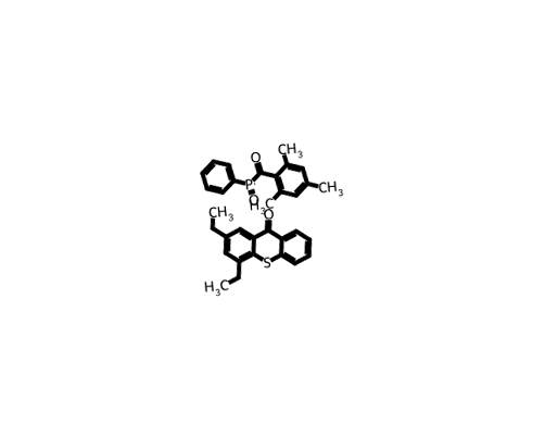 CCc1cc(CC)c2sc3ccccc3c(=O)c2c1.Cc1cc(C)c(C(=O)[P](=O)c2ccccc2)c(C)c1